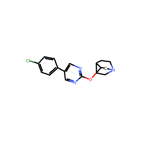 Clc1ccc(-c2cnc(OC3CN4CCC3CC4)nc2)cc1